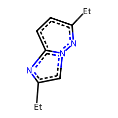 CCc1cn2nc(CC)ccc2n1